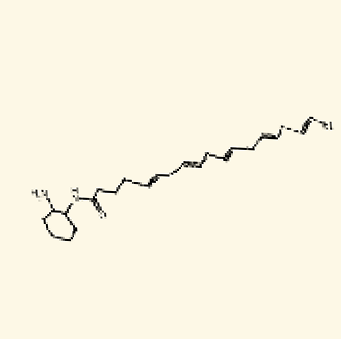 CCC=CCC=CCC=CCC=CCC=CCCCC(=O)NC1CCCCC1N